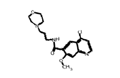 COc1cc2nccc(Cl)c2cc1C(=O)NCCCN1CCOCC1